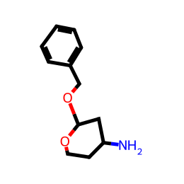 NC1CCOC(OCc2ccccc2)C1